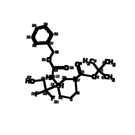 CC(C)(C)OC(=O)N1CCC[PH](NC(=O)OCc2ccccc2)(C(F)(F)CO)C1